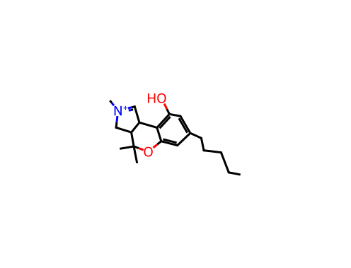 CCCCCc1cc(O)c2c(c1)OC(C)(C)C1C[N+](C)=CC21